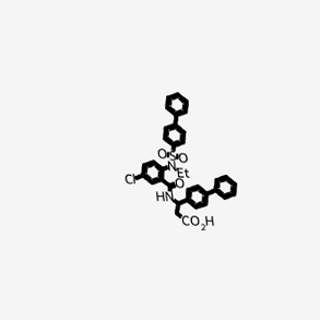 CCN(c1ccc(Cl)cc1C(=O)NC(CC(=O)O)c1ccc(-c2ccccc2)cc1)S(=O)(=O)c1ccc(-c2ccccc2)cc1